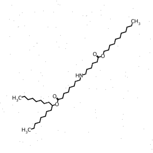 CCCCCCCCCCCOC(=O)CCCCCNCCCCCCCC(=O)OC(CCCCCCCC)CCCCCCCC